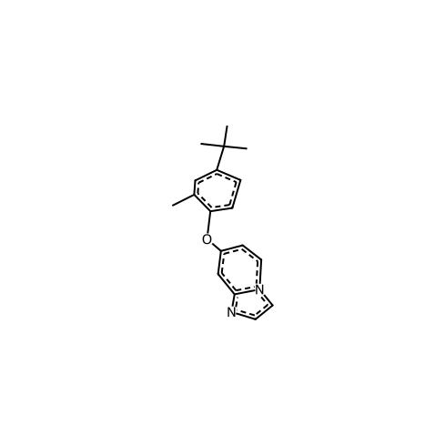 Cc1cc(C(C)(C)C)ccc1Oc1ccn2ccnc2c1